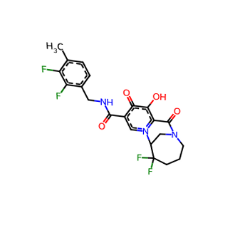 Cc1ccc(CNC(=O)c2cn3c(c(O)c2=O)C(=O)N2CCCC(F)(F)C3C2)c(F)c1F